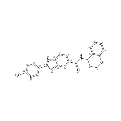 O=C(NC1CCOc2ccccc21)c1ccc2nc(-c3ccc(C(F)(F)F)nc3)sc2c1